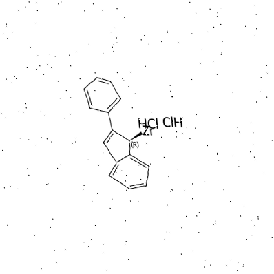 Cl.Cl.[Zr][C@@H]1C(c2ccccc2)=Cc2ccccc21